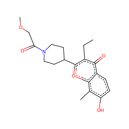 CCc1c(C2CCN(C(=O)COC)CC2)oc2c(C)c(O)ccc2c1=O